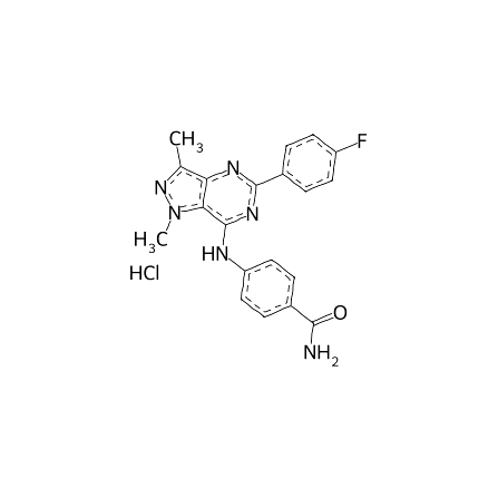 Cc1nn(C)c2c(Nc3ccc(C(N)=O)cc3)nc(-c3ccc(F)cc3)nc12.Cl